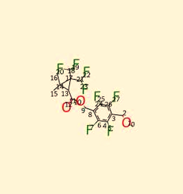 COCc1c(F)c(F)c(COC(=O)C2C(C)(C)C2(C(F)F)C(F)F)c(F)c1F